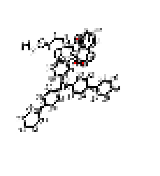 C=C/C=C\C1=C(C)[Si]2(c3cc(N(c4ccc(-c5ccccc5)cc4)c4ccc(C5CCCCC5)cc4)ccc3O1)c1ccccc1Oc1ccccc12